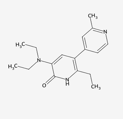 CCc1[nH]c(=O)c(N(CC)CC)cc1-c1ccnc(C)c1